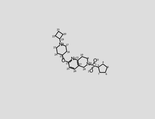 O=S(=O)(C1CCCC1)N1CCc2nc(OC3CCN(C4CCC4)CC3)ccc2C1